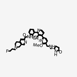 COc1nc(-c2ccnc(-c3cccc(NC(=O)c4cc5c(cn4)CN(CCCF)CC5)c3C)c2Cl)ccc1CNC[C@H]1CCC(=O)N1